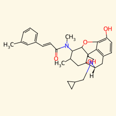 Cc1cccc(/C=C/C(=O)N(C)C2C(C)C[C@@]3(O)[C@H]4Cc5ccc(O)c6c5[C@@]3(CCN4CC3CC3)C2O6)c1